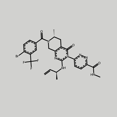 C=C[C@H](C)Nc1nc2c(c(=O)n1-c1ccc(C(=O)NC)nn1)C[C@@H](C)N(C(=O)c1ccc(Br)c(C(F)(F)F)c1)C2